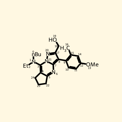 CCCCN(CC)c1c2c(nc3c(-c4ccc(OC)cc4C)c(CO)nn13)CCC2